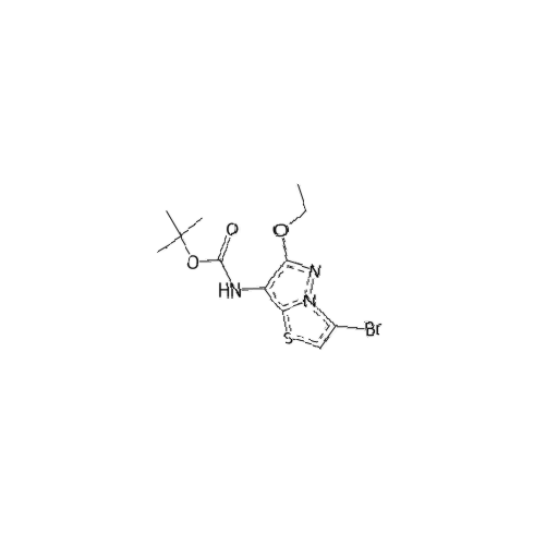 CCOc1nn2c(Br)csc2c1NC(=O)OC(C)(C)C